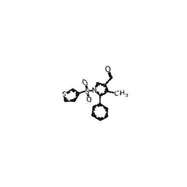 Cc1c(C=O)cn(S(=O)(=O)c2ccsc2)c1-c1ccccc1